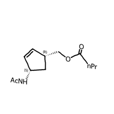 CCCC(=O)OC[C@H]1C=C[C@@H](NC(C)=O)C1